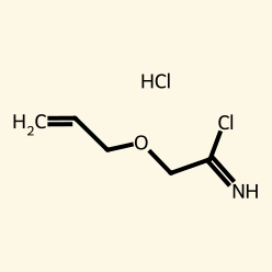 C=CCOCC(=N)Cl.Cl